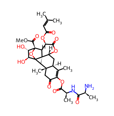 COC(=O)[C@]12OC3(C4[C@]35[C@@H](C[C@H]3C(C)=C(OC(=O)[C@H](C)NC(=O)[C@H](C)N)C(=O)C[C@]43C)OC(=O)[C@H](OC(=O)C=C(C)C)[C@@H]15)[C@@H](O)[C@@H]2O